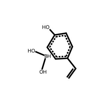 C=Cc1ccc(O)cc1.OBO